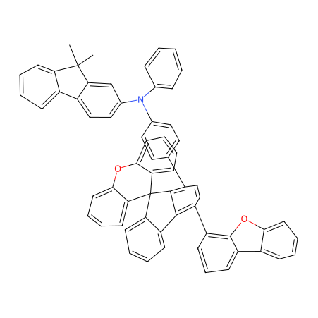 CC1(C)c2ccccc2-c2ccc(N(c3ccccc3)c3ccc(-c4ccc(-c5cccc6c5oc5ccccc56)c5c4C4(c6ccccc6Oc6ccccc64)c4ccccc4-5)cc3)cc21